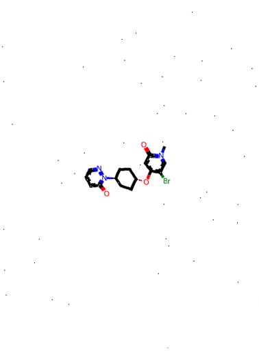 Cn1cc(Br)c(O[C@H]2CC[C@H](n3ncccc3=O)CC2)cc1=O